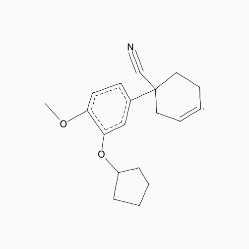 COc1ccc(C2(C#N)CC=[C]CC2)cc1OC1CCCC1